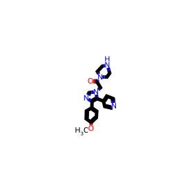 COc1ccc(-c2ncn(CC(=O)N3CCNCC3)c2-c2ccncc2)cc1